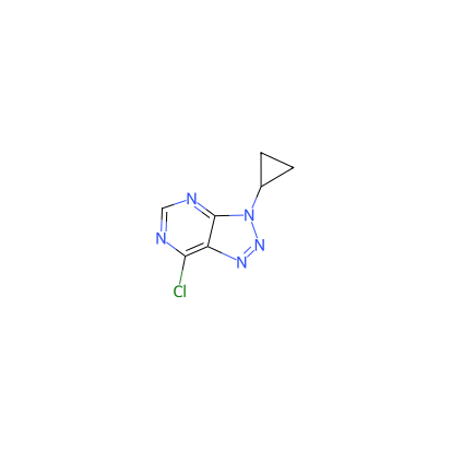 Clc1ncnc2c1nnn2C1CC1